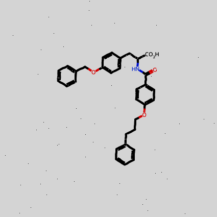 O=C(NC(Cc1ccc(OCc2ccccc2)cc1)C(=O)O)c1ccc(OCCCc2ccccc2)cc1